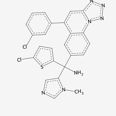 Cn1cncc1C(N)(c1ccc2c(c1)c(-c1cccc(Cl)c1)cc1nnnn12)c1ccc(Cl)s1